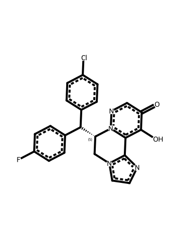 O=c1cnn2c(c1O)-c1nccn1C[C@@H]2C(c1ccc(F)cc1)c1ccc(Cl)cc1